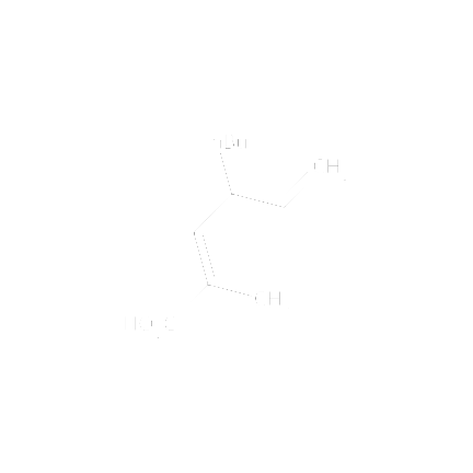 C=CC(C=C(C)C(=O)O)CCCC